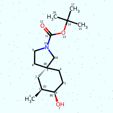 C[C@H]1C[C@]2(CC[C@H]1O)CCN(C(=O)OC(C)(C)C)C2